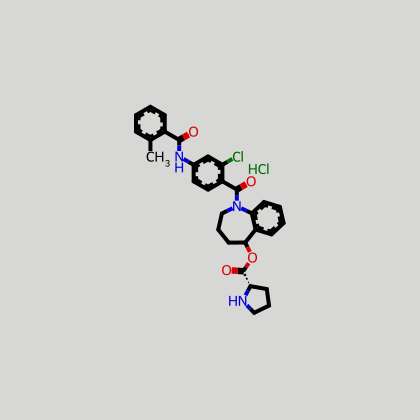 Cc1ccccc1C(=O)Nc1ccc(C(=O)N2CCCC(OC(=O)[C@@H]3CCCN3)c3ccccc32)c(Cl)c1.Cl